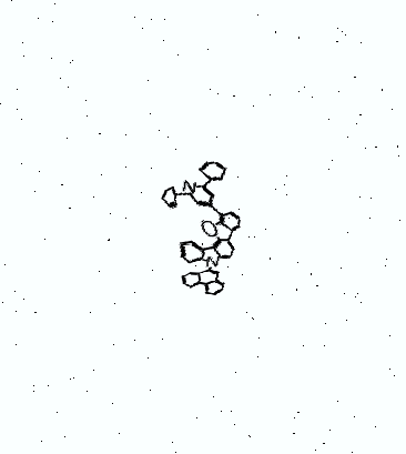 c1ccc(-c2cc(-c3cccc4c3oc3c4ccc4c3c3ccccc3n4-c3cc4ccccc4c4ccccc34)cc(-c3ccccc3)n2)cc1